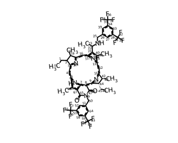 CCC1c2cc3[nH]c4c(c5nc(cc6[nH]c(cc(n2)C1C)c(C(C)NCc1cc(C(F)(F)F)cc(C(F)(F)F)c1)c6C)[C@@H](C)[C@@H]5CC)C(=O)N(Cc1cc(C(F)(F)F)cc(C(F)(F)F)c1)C(=O)c4c3C